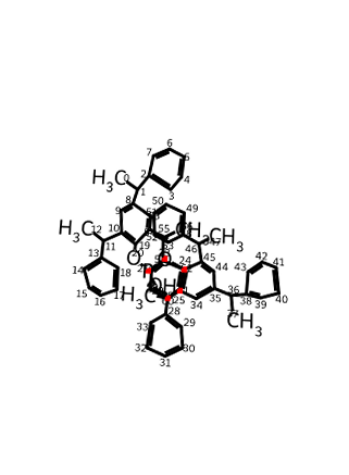 CC(c1ccccc1)c1cc(C(C)c2ccccc2)c(OP(O)Oc2c(C(C)c3ccccc3)cc(C(C)c3ccccc3)cc2C(C)c2ccccc2)c(C(C)c2ccccc2)c1